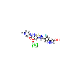 COc1cc2c(cc1C(=O)NC1CCN(C)CC1)sc1nc(-c3ccc([C@H]4C[C@@H](O)CN4)cc3F)cn12.Cl.Cl